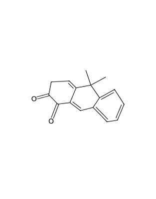 CC1(C)C2=CCC(=O)C(=O)C2=Cc2ccccc21